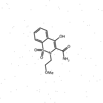 COCCN1C(C(N)=O)=C(O)c2ccccc2S1(=O)=O